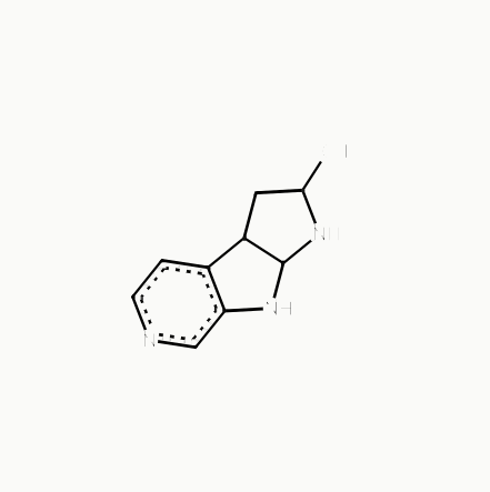 CC1CC2c3ccncc3NC2N1